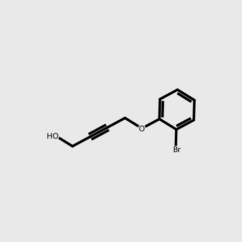 OCC#CCOc1ccccc1Br